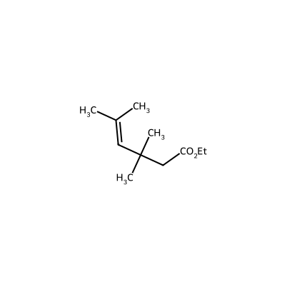 CCOC(=O)CC(C)(C)C=C(C)C